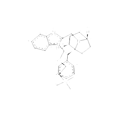 C[Si](C)(C)CCOCn1c(CN2[C@@H]3CC[C@H](O)[C@@]2(Cc2ccccc2)CC3)nc2ccccc21